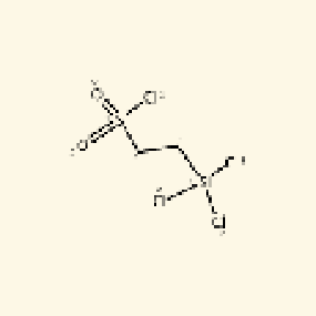 O=S(=O)(Cl)CC[Si](Cl)(Cl)Cl